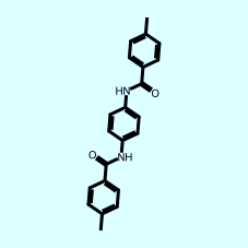 Cc1ccc(C(=O)Nc2ccc(NC(=O)c3ccc(C)cc3)cc2)cc1